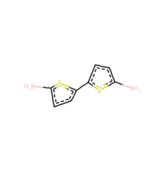 Bc1ccc(-c2ccc(B)s2)s1